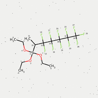 CCO[Si](OCC)(OCC)C(C)C(F)(F)C(F)(F)C(F)(F)C(F)(F)C(F)(F)F